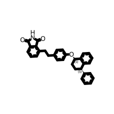 O=C1NC(=O)c2c(CCc3ccc(O[C@H]4CC[C@@H](c5ccccc5)c5ccccc54)cc3)cccc21